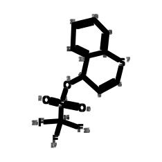 O=S(=O)(OC1C=CSc2ccccc21)C(F)(F)F